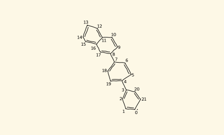 [c]1ccc(-c2ccc(-c3ccc4ccccc4c3)cc2)cc1